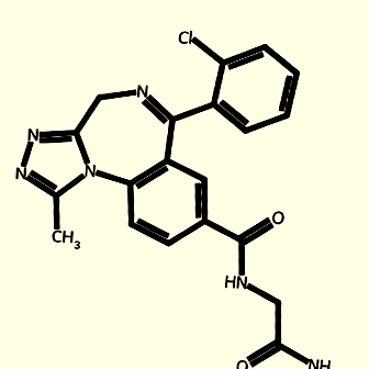 Cc1nnc2n1-c1ccc(C(=O)NCC(N)=O)cc1C(c1ccccc1Cl)=NC2